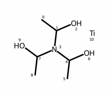 CC(O)N(C(C)O)C(C)O.[Ti]